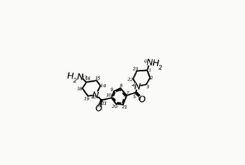 NC1CCN(C(=O)c2ccc(C(=O)N3CCC(N)CC3)cc2)CC1